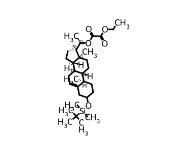 CCOC(=O)C(=O)O[C@@H](C)[C@H]1CC[C@H]2[C@@H]3CC=C4CC(O[Si](C)(C)C(C)(C)C)CC[C@]4(C)[C@H]3CC[C@]12C